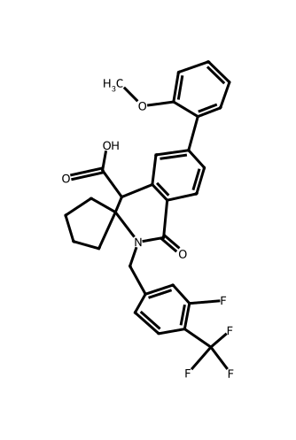 COc1ccccc1-c1ccc2c(c1)C(C(=O)O)C1(CCCC1)N(Cc1ccc(C(F)(F)F)c(F)c1)C2=O